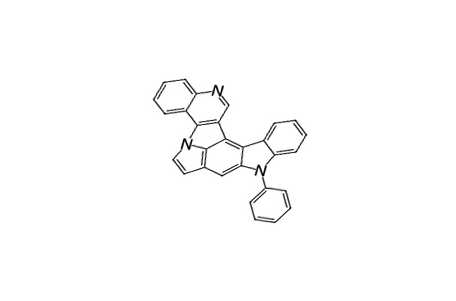 c1ccc(-n2c3ccccc3c3c4c5cnc6ccccc6c5n5ccc(cc32)c45)cc1